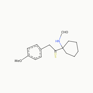 COc1ccc(CC(=S)C2(NC=O)CCCCC2)cc1